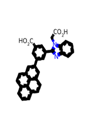 O=C(O)Cn1c(-c2cc(C(=O)O)cc(-c3cc4ccc5cccc6ccc(c3)c4c56)c2)nc2ccccc21